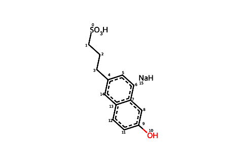 O=S(=O)(O)CCCc1ccc2cc(O)ccc2c1.[NaH]